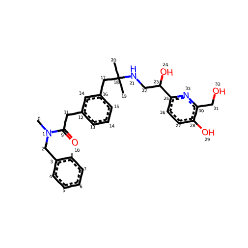 CN(Cc1ccccc1)C(=O)Cc1cccc(CC(C)(C)NCC(O)c2ccc(O)c(CO)n2)c1